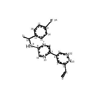 C=Cc1cc(-c2cnc(NC(C)c3ccc(F)cc3)cn2)cnn1